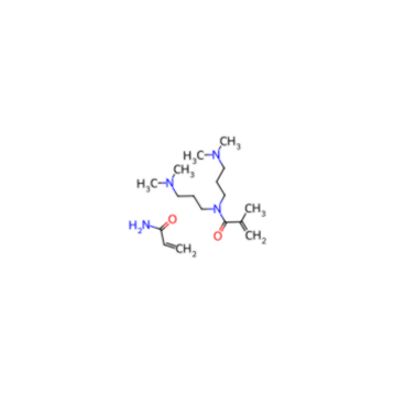 C=C(C)C(=O)N(CCCN(C)C)CCCN(C)C.C=CC(N)=O